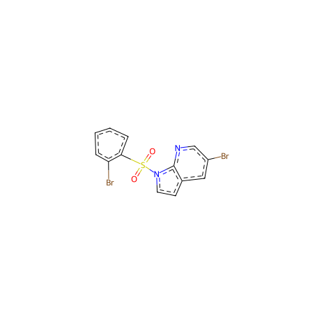 O=S(=O)(c1ccccc1Br)n1ccc2cc(Br)cnc21